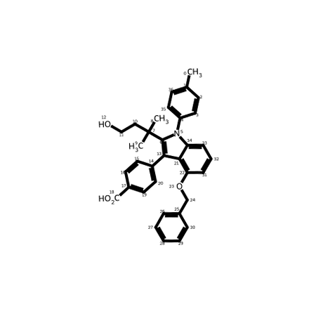 Cc1ccc(-n2c(C(C)(C)CCO)c(-c3ccc(C(=O)O)cc3)c3c(OCc4ccccc4)cccc32)cc1